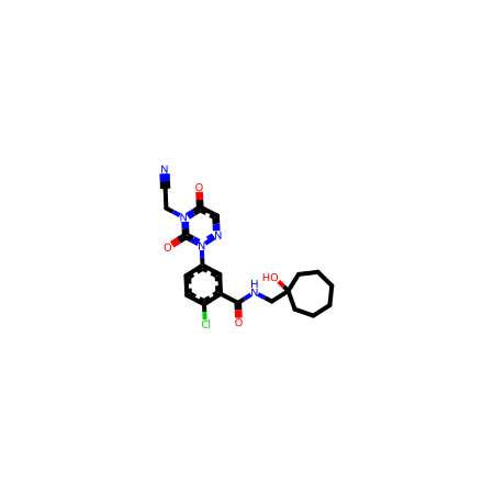 N#CCn1c(=O)cnn(-c2ccc(Cl)c(C(=O)NCC3(O)CCCCCC3)c2)c1=O